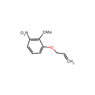 C=CCOc1cccc([N+](=O)[O-])c1OC